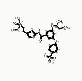 CCOP(=O)(CCc1csc(NC(=O)c2cc(Oc3ccc(S(C)(=O)=O)cc3)cc(O[C@@H](C)COC)c2)n1)OCC